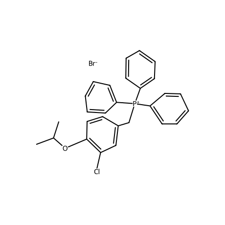 CC(C)Oc1ccc(C[P+](c2ccccc2)(c2ccccc2)c2ccccc2)cc1Cl.[Br-]